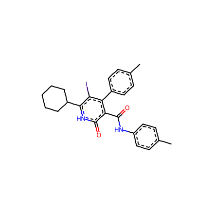 Cc1ccc(NC(=O)c2c(-c3ccc(C)cc3)c(I)c(C3CCCCC3)[nH]c2=O)cc1